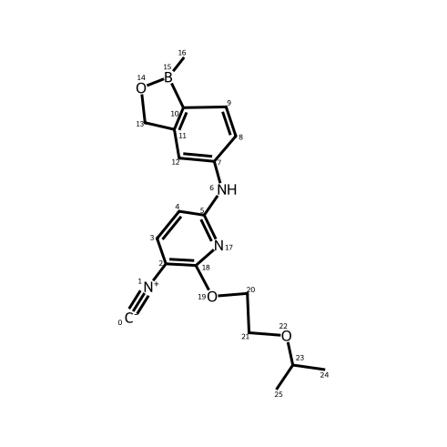 [C-]#[N+]c1ccc(Nc2ccc3c(c2)COB3C)nc1OCCOC(C)C